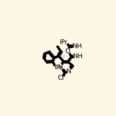 C/C=C(\c1ccccc1C(C)C)c1nc(Cl)ncc1C(=N)OC(=N)C(C)C